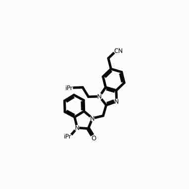 CC(C)CCn1c(Cn2c(=O)n(C(C)C)c3ccccc32)nc2ccc(CC#N)cc21